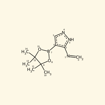 C=Nc1[nH]ncc1B1OC(C)(C)C(C)(C)O1